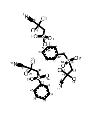 CS(=O)(=O)CC(Cl)(Cl)C#N.N#CC(Cl)(Cl)CS(=O)(=O)Cc1ccccc1.N#CC(Cl)(Cl)CS(=O)(=O)c1ccccc1